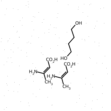 CC(N)=CC(=O)O.CC(N)=CC(=O)O.OCCCCO